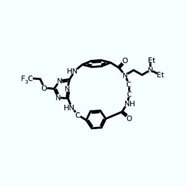 CCN(CC)CCN1CCNC(=O)c2ccc(cc2)CNc2nc(nc(OCC(F)(F)F)n2)Nc2ccc(cc2)C1=O